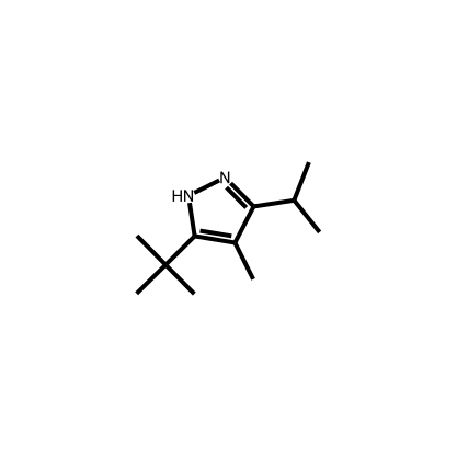 Cc1c(C(C)C)n[nH]c1C(C)(C)C